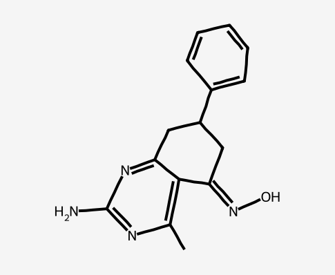 Cc1nc(N)nc2c1/C(=N/O)CC(c1ccccc1)C2